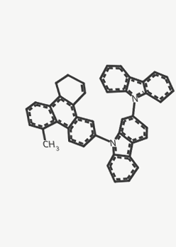 Cc1cccc2c3c(c4cc(-n5c6ccccc6c6ccc(-n7c8ccccc8c8ccccc87)cc65)ccc4c12)C=CCC3